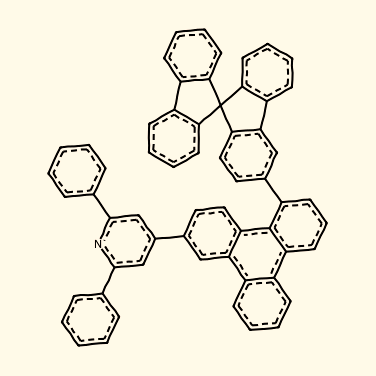 c1ccc(-c2cc(-c3ccc4c(c3)c3ccccc3c3cccc(-c5ccc6c(c5)-c5ccccc5C65c6ccccc6-c6ccccc65)c34)cc(-c3ccccc3)n2)cc1